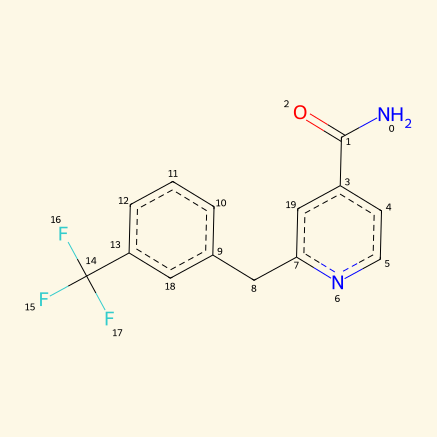 NC(=O)c1ccnc(Cc2cccc(C(F)(F)F)c2)c1